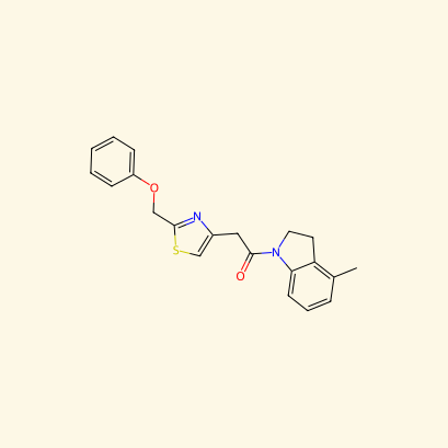 Cc1cccc2c1CCN2C(=O)Cc1csc(COc2ccccc2)n1